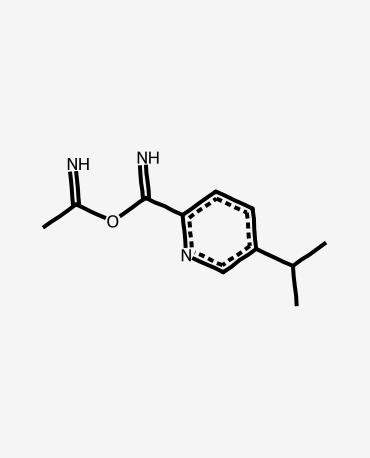 CC(=N)OC(=N)c1ccc(C(C)C)cn1